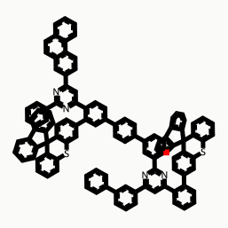 c1ccc(-c2cccc(-c3cc(-c4ccccc4-c4ccc5c(c4)Sc4ccccc4C54c5ccccc5-c5ccccc54)nc(-c4cccc(-c5ccc(-c6ccc(-c7cc(-c8ccc9c(ccc%10ccccc%109)c8)nc(-c8ccccc8)n7)c(-c7ccc8c(c7)Sc7ccccc7C87c8ccccc8-c8ccccc87)c6)cc5)c4)n3)c2)cc1